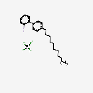 CCCCCCCCCCc1ccc(-c2ccccc2I)cc1.F[B-](F)(F)F